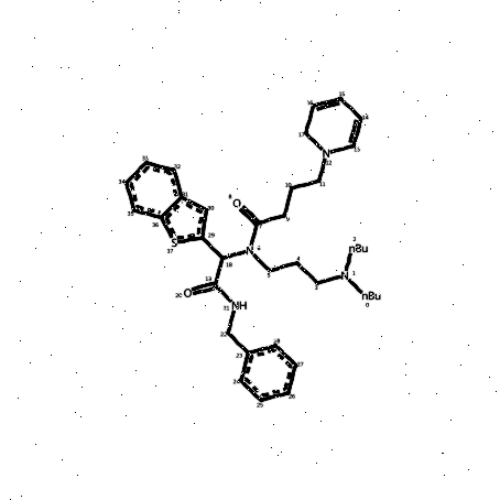 CCCCN(CCCC)CCCN(C(=O)CCCN1C=CC=CC1)C(C(=O)NCc1ccccc1)c1cc2ccccc2s1